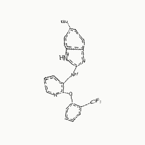 CC(C)(C)c1ccc2nc(Nc3cccnc3Oc3ccccc3C(F)(F)F)[nH]c2c1